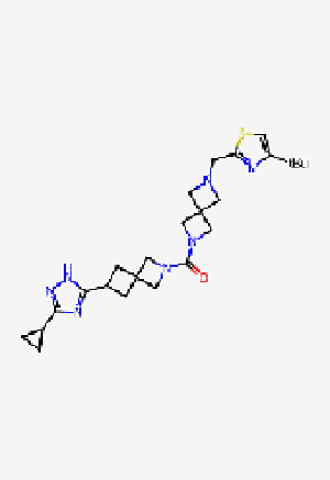 CC(C)(C)c1csc(CN2CC3(C2)CN(C(=O)N2CC4(CC(c5nc(C6CC6)n[nH]5)C4)C2)C3)n1